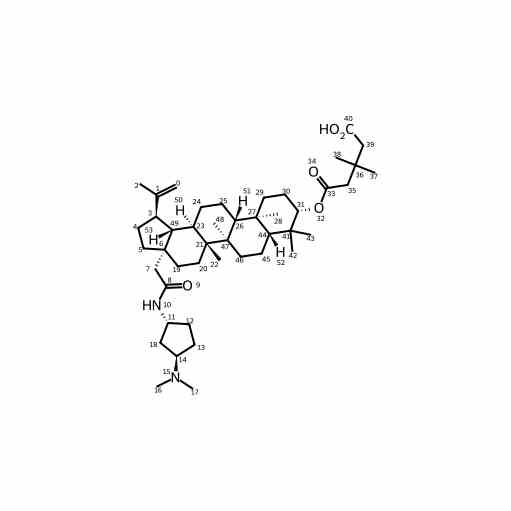 C=C(C)[C@@H]1CC[C@]2(CC(=O)N[C@@H]3CC[C@@H](N(C)C)C3)CC[C@]3(C)[C@H](CC[C@@H]4[C@@]5(C)CC[C@H](OC(=O)CC(C)(C)CC(=O)O)C(C)(C)[C@@H]5CC[C@]43C)[C@@H]12